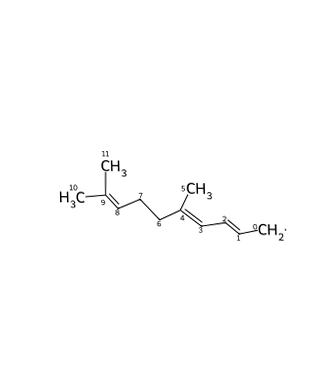 [CH2]/C=C/C=C(\C)CCC=C(C)C